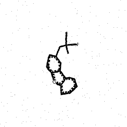 CC(C)(I)Cc1ccc2oc3ccccc3c2c1